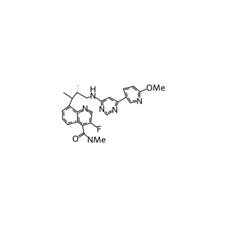 CNC(=O)c1c(F)cnc2c(C(C)[C@H](C)CNc3cc(-c4ccc(OC)nc4)ncn3)cccc12